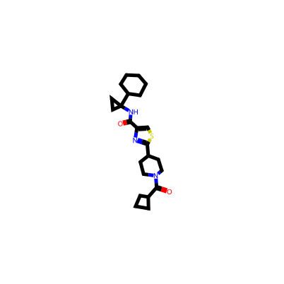 O=C(NC1(C2CCCCC2)CC1)c1csc(C2CCN(C(=O)C3CCC3)CC2)n1